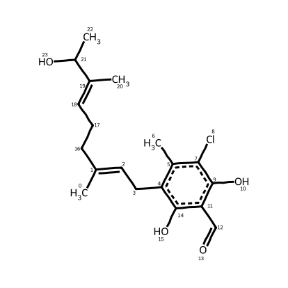 C/C(=C\Cc1c(C)c(Cl)c(O)c(C=O)c1O)CC/C=C(\C)C(C)O